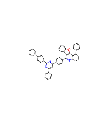 c1ccc(-c2ccc(-c3nc(-c4ccccc4)cc(-c4ccc(-c5nc6cccc(-c7ccccc7)c6c6oc7ccccc7c56)cc4)n3)cc2)cc1